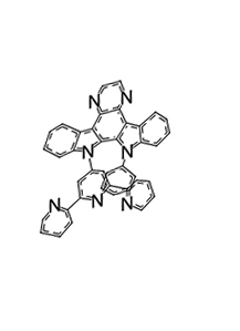 c1ccc(-n2c3ccccc3c3c4nccnc4c4c5ccccc5n(-c5cc(-c6ccccn6)nc(-c6ccccn6)c5)c4c32)cc1